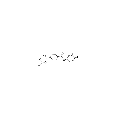 C=CC(=O)OC(CC)C1CCC(C(=O)Oc2ccc(F)c(F)c2)CC1